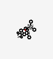 c1ccc(-c2nc(-c3ccccc3)nc(-c3ccc(-c4cccc5c4-c4c(ccc6c(-c7ccccc7)nc7ccccc7c46)C54c5ccccc5Sc5ccccc54)cc3)n2)cc1